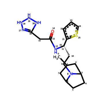 CC1CC2CCC(C1)N2CC[C@H](NC(=O)CC1=NNNN1)c1cccs1